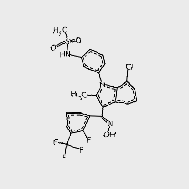 Cc1c(C(=NO)c2cccc(C(F)(F)F)c2F)c2cccc(Cl)c2n1-c1cccc(NS(C)(=O)=O)c1